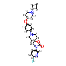 O=C1OC2(CCN(c3ccc(OC4CCN(C5CCC5)CC4)cc3)CC2)CN1c1ccc(F)nc1